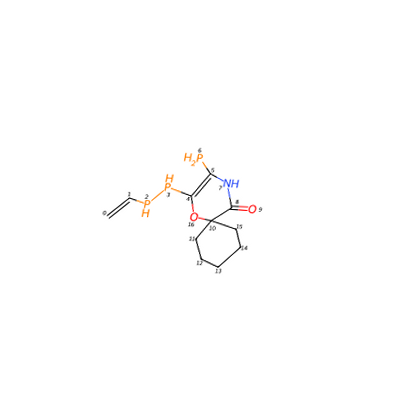 C=CPPC1=C(P)NC(=O)C2(CCCCC2)O1